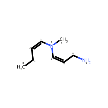 CC/C=C\N(C)/C=C\CN